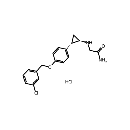 Cl.NC(=O)CN[C@@H]1C[C@H]1c1ccc(OCc2cccc(Cl)c2)cc1